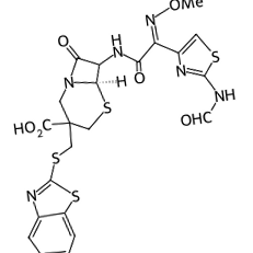 CON=C(C(=O)NC1C(=O)N2CC(CSc3nc4ccccc4s3)(C(=O)O)CS[C@H]12)c1csc(NC=O)n1